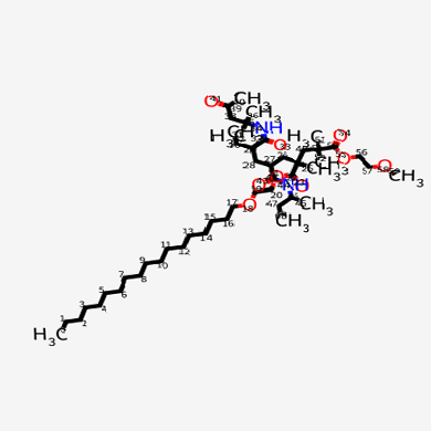 CCCCCCCCCCCCCCCCCCOCCOC(=O)C(C)(CC(CC(CC)C(=O)NC(C)(C)CC(C)=O)C(=O)NC(C)CC)CC(C)(C)C(=O)OCCOC